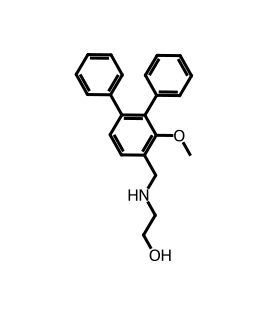 COc1c(CNCCO)ccc(-c2ccccc2)c1-c1ccccc1